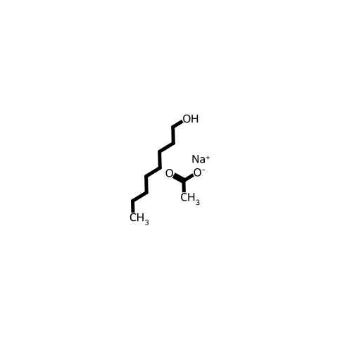 CC(=O)[O-].CCCCCCCCO.[Na+]